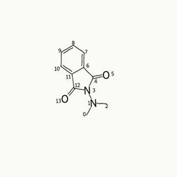 CN(C)N1C(=O)c2ccccc2C1=O